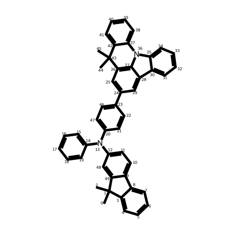 CC1(C)c2ccccc2-c2ccc(N(c3ccccc3)c3ccc(-c4cc5c6c(c4)c4ccccc4n6-c4ccccc4C5(C)C)cc3)cc21